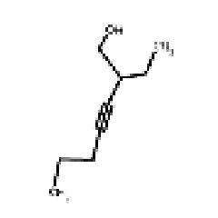 CCCC#CC(CC)CO